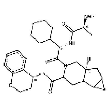 CN[C@@H](C)C(=O)N[C@H](C(=O)N1C[C@H]2CC3CC3C2CC1C(=O)N[C@@H]1CCOc2ccccc21)C1CCCCC1